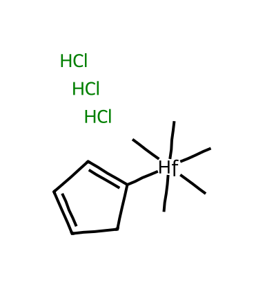 Cl.Cl.Cl.[CH3][Hf]([CH3])([CH3])([CH3])([CH3])[C]1=CC=CC1